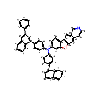 c1ccc(-c2cc(-c3ccc(N(c4ccc(-c5cccc6ccccc56)cc4)c4ccc5c(c4)oc4cc6ccncc6cc45)cc3)c3ccccc3c2)cc1